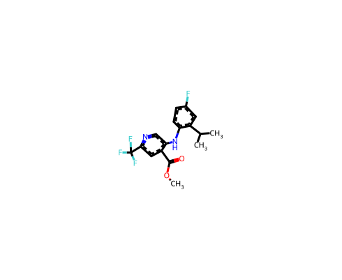 COC(=O)c1cc(C(F)(F)F)ncc1Nc1ccc(F)cc1C(C)C